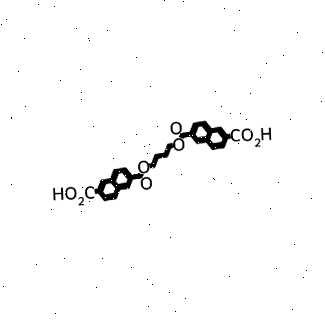 O=C(O)c1ccc2cc(C(=O)OCCCCOC(=O)c3ccc4cc(C(=O)O)ccc4c3)ccc2c1